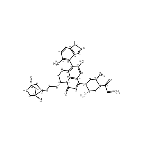 C=CC(=O)N1C[C@H](C)N(c2nc(=O)n3c4c(c(-c5c(C)ccc6[nH]ncc56)c(Cl)cc24)OC[C@H]3CCCN2C[C@@H]3C[C@H]2CO3)C[C@H]1C